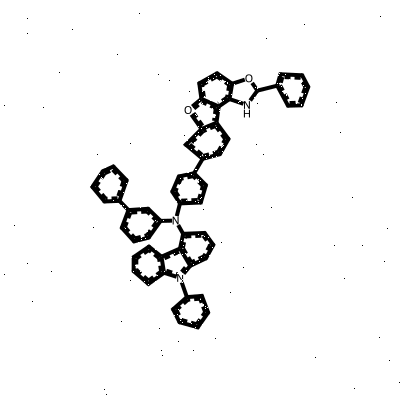 c1ccc(-c2cccc(N(c3ccc(-c4ccc5c(c4)oc4ccc6c(c45)NC(c4ccccc4)O6)cc3)c3cccc4c3c3ccccc3n4-c3ccccc3)c2)cc1